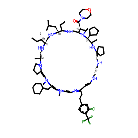 CCC1NCC2[C@@H](C(=O)N3CCOCC3)C(C)N2[C@@H](C2CCCC2)C(C)NC2(CCCC2)CNCCNC=CC(CCc2ccc(C(F)(F)F)c(Cl)c2)=NC=CN(C)C=C(CC2CCCCC2)N(C)C=C2CCCN2[C@@H](C)CN[C@@H]([C@@H](C)CC)CN[C@H]1CC(C)C